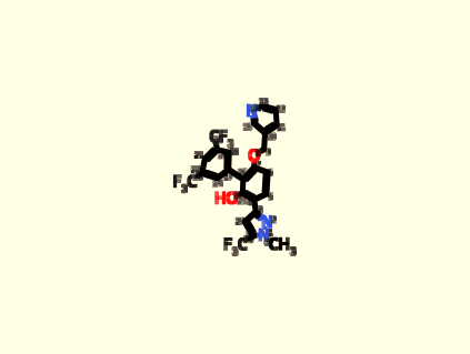 Cn1nc(-c2ccc(OCc3cccnc3)c(-c3cc(C(F)(F)F)cc(C(F)(F)F)c3)c2O)cc1C(F)(F)F